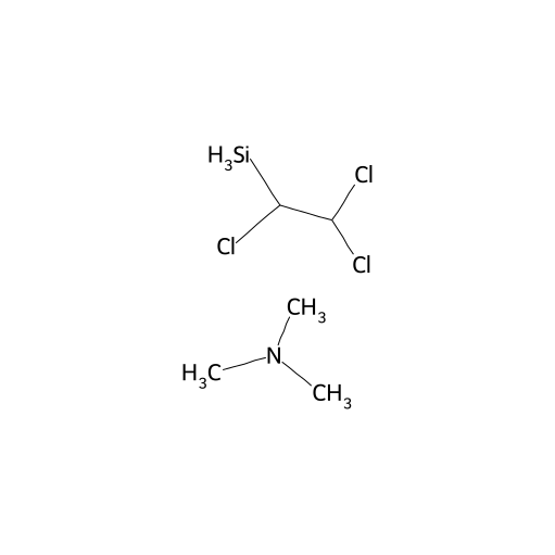 CN(C)C.[SiH3]C(Cl)C(Cl)Cl